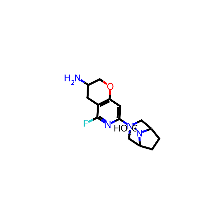 NC1COc2cc(N3CC4CCC(C3)N4C(=O)O)nc(F)c2C1